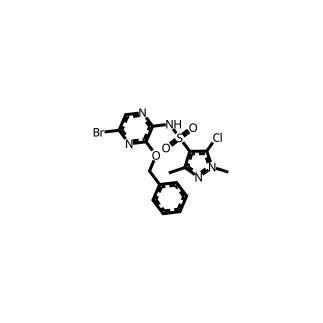 Cc1nn(C)c(Cl)c1S(=O)(=O)Nc1ncc(Br)nc1OCc1ccccc1